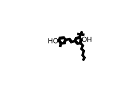 CCCCCCc1cc(/C=C/c2ccc(O)c(C)c2)cc(C(C)(C)C)c1O